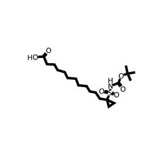 CC(C)(C)OC(=O)NS(=O)(=O)C1(CCCCCCCCCCCC(=O)O)CC1